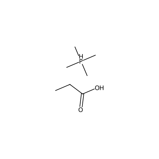 CCC(=O)O.C[PH](C)(C)C